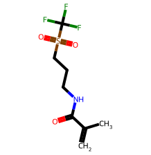 C=C(C)C(=O)NCCCS(=O)(=O)C(F)(F)F